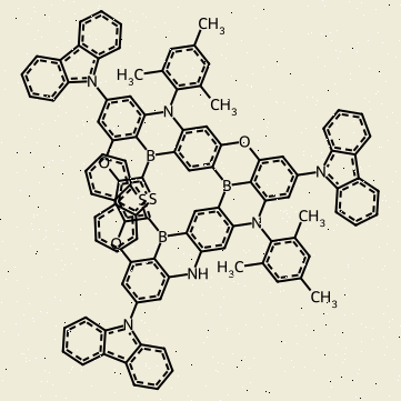 Cc1cc(C)c(N2c3cc4c(cc3B3c5cc6c(cc5Oc5cc(-n7c8ccccc8c8ccccc87)cc2c53)N(c2c(C)cc(C)cc2C)c2cc(-n3c5ccccc5c5ccccc53)cc3c2B6c2sc5ccccc5c2O3)B2c3sc5ccccc5c3Oc3cc(-n5c6ccccc6c6ccccc65)cc(c32)N4)c(C)c1